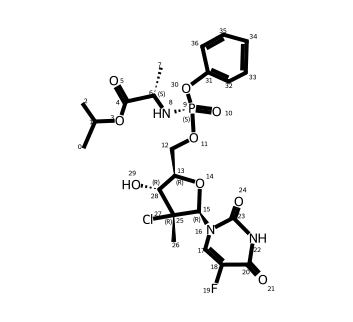 CC(C)OC(=O)[C@H](C)N[P@](=O)(OC[C@H]1O[C@@H](n2cc(F)c(=O)[nH]c2=O)[C@](C)(Cl)[C@@H]1O)Oc1ccccc1